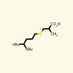 CCCCC(CCCC)CCCSCC(C)C(=O)O